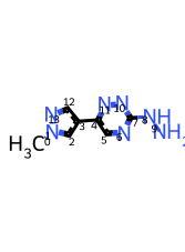 Cn1cc(-c2cnc(NN)nn2)cn1